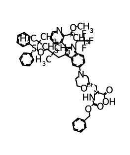 CO[C@@H](C)c1ncccc1-c1c(CC(C)(C)CO[Si](c2ccccc2)(c2ccccc2)C(C)(C)C)c2cc(N3CCO[C@@H](C[C@H](NC(=O)OCc4ccccc4)C(=O)O)C3)ccc2n1CC(F)(F)F